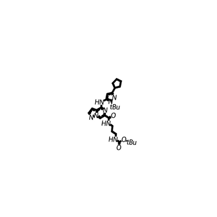 CC(C)(C)OC(=O)NCCCNC(=O)c1cn2nccc2c(Nc2cc(C3CCCC3)nn2C(C)(C)C)n1